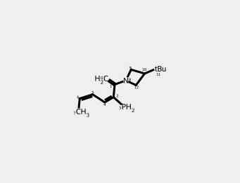 C=C(/C(P)=C\C=C/C)N1CC(C(C)(C)C)C1